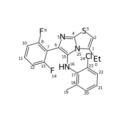 CCc1csc2nc(-c3c(F)cccc3F)c(Nc3c(C)cccc3Cl)n12